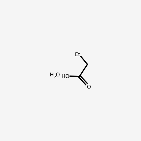 CCCC(=O)O.O